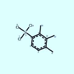 Cc1ccc([Si](Cl)(Cl)Cl)c(C)c1C